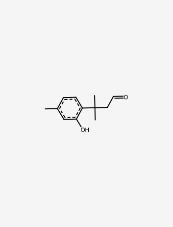 Cc1ccc(C(C)(C)CC=O)c(O)c1